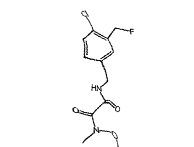 CON(C)C(=O)C(=O)NCc1ccc(Cl)c(CF)c1